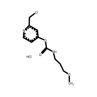 COCCCNC(=O)Oc1ccnc(CCl)c1.Cl